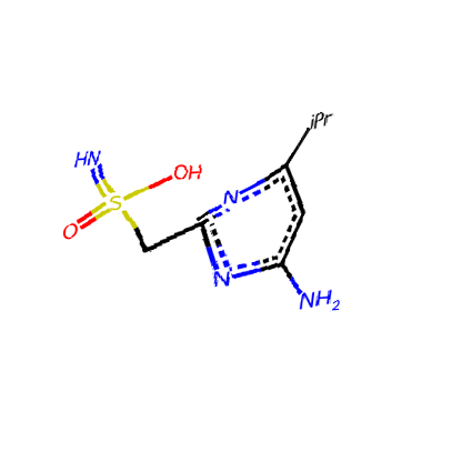 CC(C)c1cc(N)nc(CS(=N)(=O)O)n1